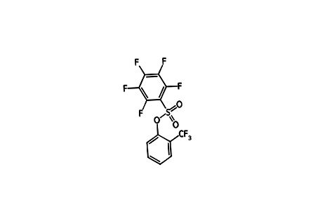 O=S(=O)(Oc1ccccc1C(F)(F)F)c1c(F)c(F)c(F)c(F)c1F